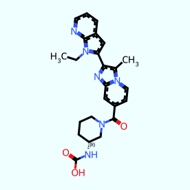 CCn1c(-c2nc3cc(C(=O)N4CCC[C@@H](NC(=O)O)C4)ccn3c2C)cc2cccnc21